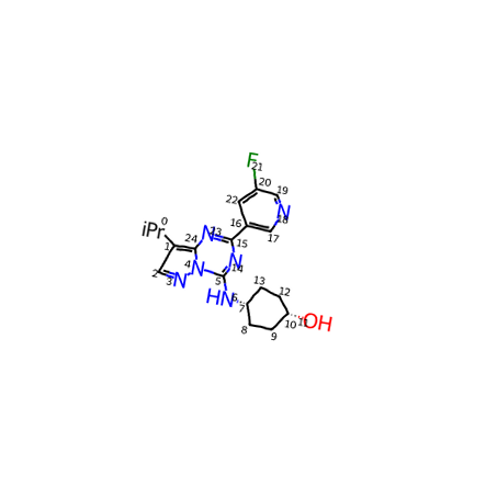 CC(C)c1cnn2c(N[C@H]3CC[C@@H](O)CC3)nc(-c3cncc(F)c3)nc12